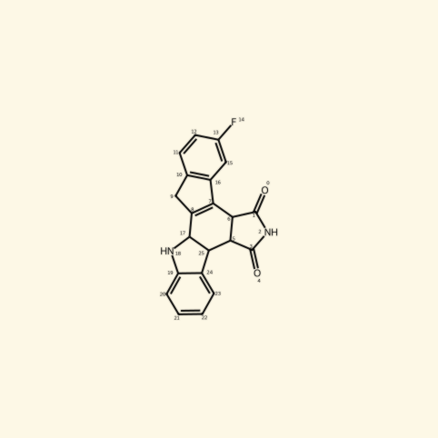 O=C1NC(=O)C2C1C1=C(Cc3ccc(F)cc31)C1Nc3ccccc3C12